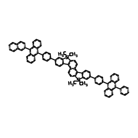 C[Si]1(C)c2cc(-c3ccc(-c4c5ccccc5c(-c5ccccc5)c5ccccc45)cc3)ccc2-c2c1ccc1c3c(ccc21)[Si](C)(C)c1cc(-c2ccc(-c4c5ccccc5c(-c5ccc6ccccc6c5)c5ccccc45)cc2)ccc1-3